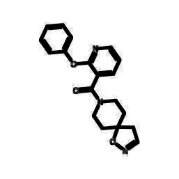 O=C(c1cccnc1Oc1ccccc1)N1CCC2(CC=NO2)CC1